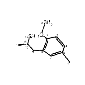 BOc1ccc(C)cc1C[C@@H](C)S